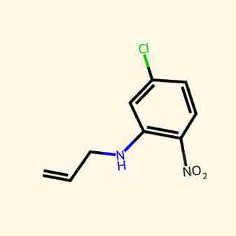 C=CCNc1cc(Cl)ccc1[N+](=O)[O-]